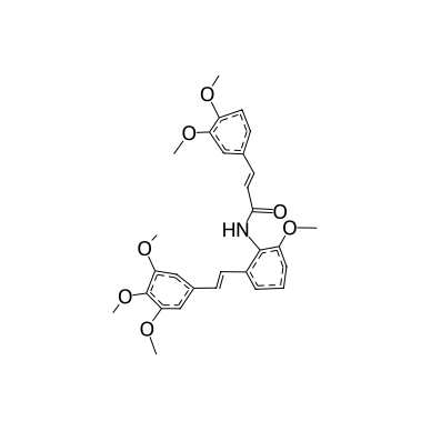 COc1ccc(/C=C/C(=O)Nc2c(C=Cc3cc(OC)c(OC)c(OC)c3)cccc2OC)cc1OC